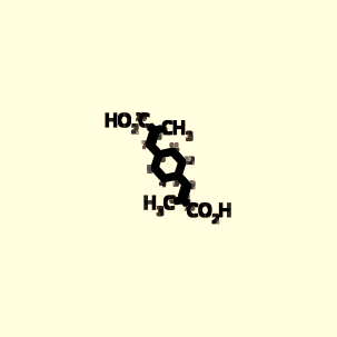 C/C(=C\C1CCC(/C=C(\C)C(=O)O)CC1)C(=O)O